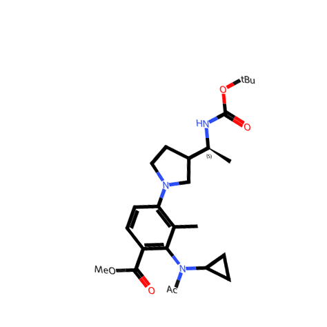 COC(=O)c1ccc(N2CCC([C@H](C)NC(=O)OC(C)(C)C)C2)c(C)c1N(C(C)=O)C1CC1